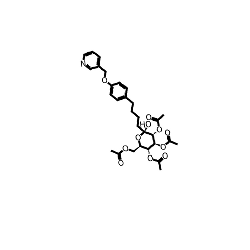 CC(=O)OC[C@H]1O[C@](O)(CCCCc2ccc(OCc3cccnc3)cc2)[C@H](OC(C)=O)[C@@H](OC(C)=O)[C@@H]1OC(C)=O